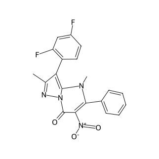 Cc1nn2c(=O)c([N+](=O)[O-])c(-c3ccccc3)n(C)c2c1-c1ccc(F)cc1F